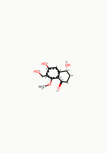 COc1c(CO)c(O)cc2c1C(=O)CC[C@H]2O